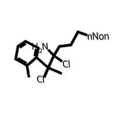 CCCCCCCCCCCCC(N)(Cl)C(C)(Cl)c1ccccc1C